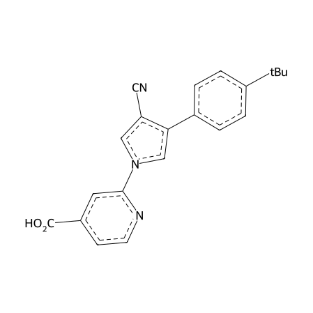 CC(C)(C)c1ccc(-c2cn(-c3cc(C(=O)O)ccn3)cc2C#N)cc1